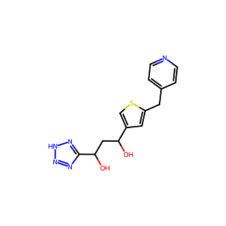 OC(CC(O)c1nn[nH]n1)c1csc(Cc2ccncc2)c1